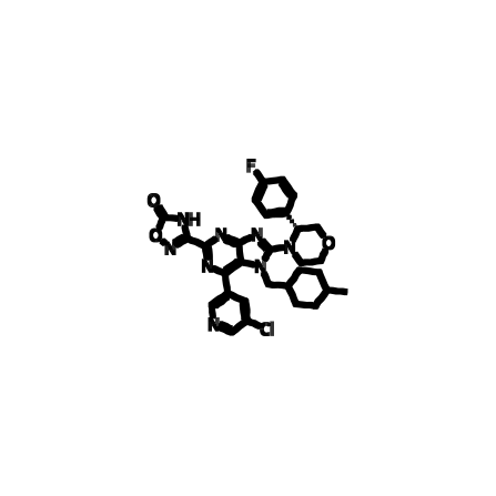 CC1CCC(Cn2c(N3CCOC[C@H]3c3ccc(F)cc3)nc3nc(-c4noc(=O)[nH]4)nc(-c4cncc(Cl)c4)c32)CC1